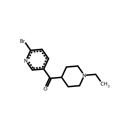 CCN1CCC(C(=O)c2ccc(Br)nc2)CC1